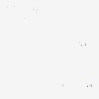 C/C(N)=C\CC(N)c1ccc(CC(C)N)cc1